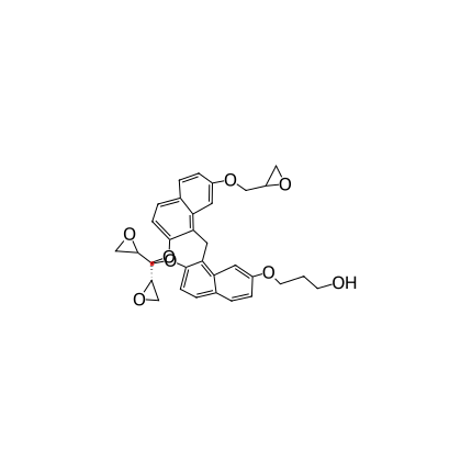 OCCCOc1ccc2ccc(OCC3CO3)c(Cc3c(OC[C@@H]4CO4)ccc4ccc(OCC5CO5)cc34)c2c1